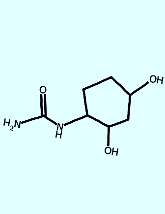 NC(=O)NC1CCC(O)CC1O